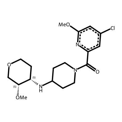 COc1cc(Cl)cc(C(=O)N2CCC(N[C@H]3CCOC[C@H]3OC)CC2)n1